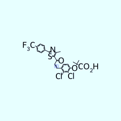 Cc1nc(-c2ccc(C(F)(F)F)cc2)sc1C(=O)/C=C\c1ccc(OC(C)(C)C(=O)O)c(Cl)c1Cl